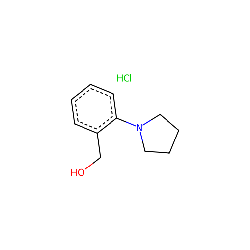 Cl.OCc1ccccc1N1CCCC1